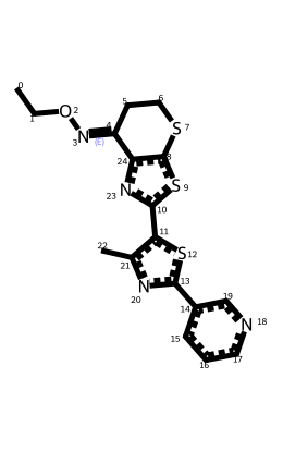 CCO/N=C1\CCSc2sc(-c3sc(-c4cccnc4)nc3C)nc21